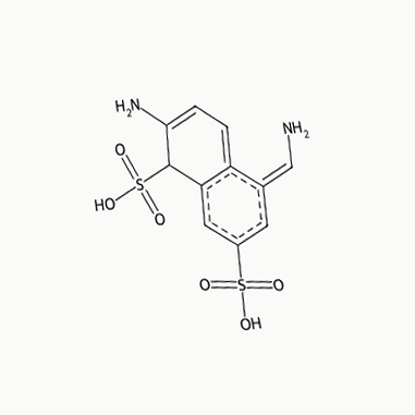 N/C=c1/cc(S(=O)(=O)O)cc2c1=CC=C(N)C2S(=O)(=O)O